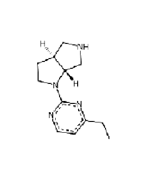 CCc1ccnc(N2CC[C@H]3CNC[C@@H]32)n1